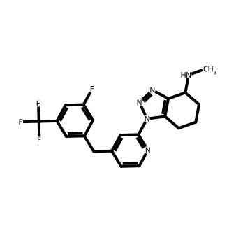 CNC1CCCc2c1nnn2-c1cc(Cc2cc(F)cc(C(F)(F)F)c2)ccn1